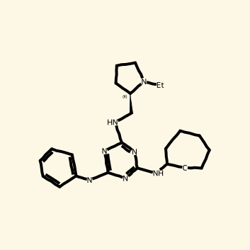 CCN1CCC[C@@H]1CNc1nc([N]c2ccccc2)nc(NC2CCCCCC2)n1